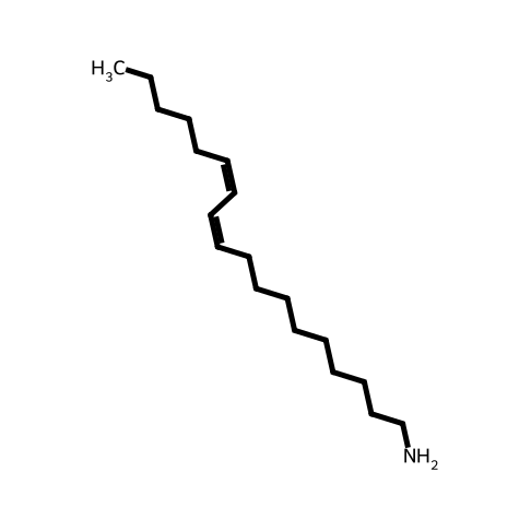 CCCCC/C=C\C=C/CCCCCCCCCN